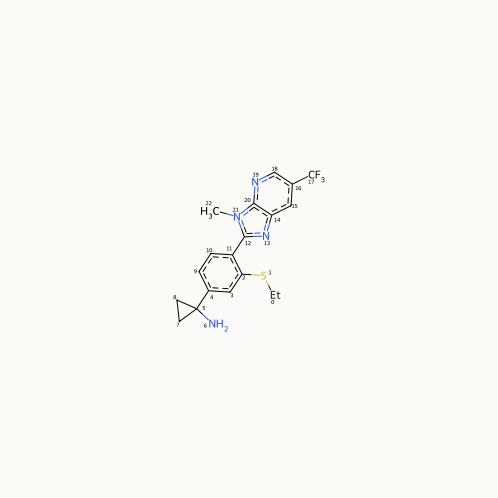 CCSc1cc(C2(N)CC2)ccc1-c1nc2cc(C(F)(F)F)cnc2n1C